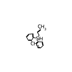 CC=CC[SiH](c1ccccc1)c1ccccc1C